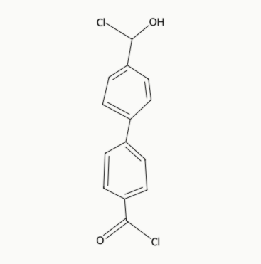 O=C(Cl)c1ccc(-c2ccc(C(O)Cl)cc2)cc1